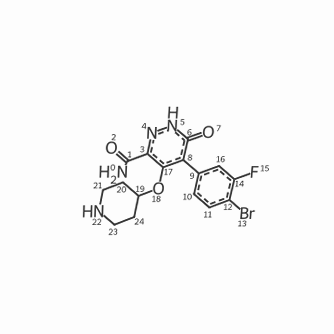 NC(=O)c1n[nH]c(=O)c(-c2ccc(Br)c(F)c2)c1OC1CCNCC1